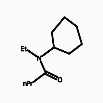 CCCC(=O)N(CC)C1CCCCC1